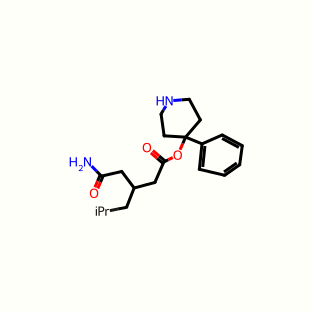 CC(C)CC(CC(N)=O)CC(=O)OC1(c2ccccc2)CCNCC1